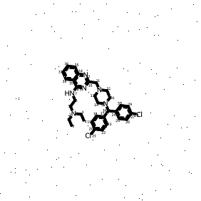 CCN(CC)CCNc1nc(CN2CCN(C(c3ccc(Cl)cc3)c3ccc(Cl)cc3)CC2)nc2ccccc12